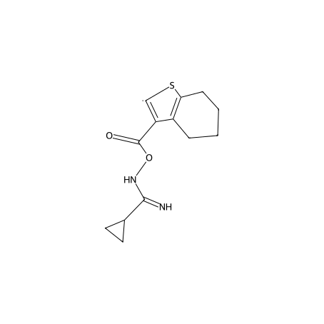 N=C(NOC(=O)c1[c]sc2c1CCCC2)C1CC1